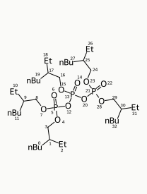 CCCCC(CC)COP(=O)(OCC(CC)CCCC)OP(=O)(OCC(CC)CCCC)OP(=O)(OCC(CC)CCCC)OCC(CC)CCCC